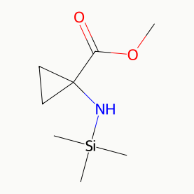 COC(=O)C1(N[Si](C)(C)C)CC1